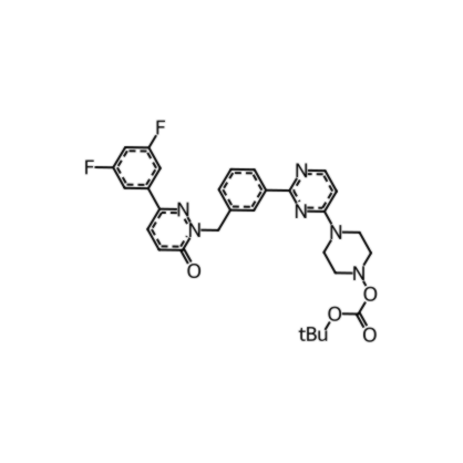 CC(C)(C)OC(=O)ON1CCN(c2ccnc(-c3cccc(Cn4nc(-c5cc(F)cc(F)c5)ccc4=O)c3)n2)CC1